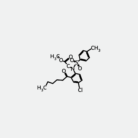 CCCCCC(=O)c1cc(Cl)ccc1N(CC(=O)OC)S(=O)(=O)c1ccc(C)cc1